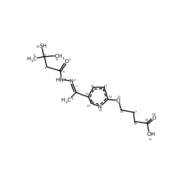 C/C(=N\NC(=O)CC(C)(C)S)c1ccc(OCCCC(=O)O)nc1